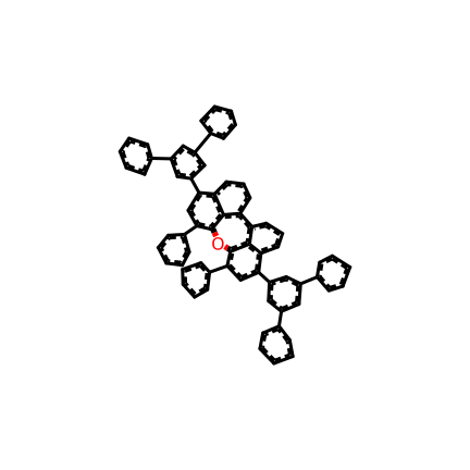 c1ccc(-c2cc(-c3ccccc3)cc(-c3cc(-c4ccccc4)c4oc5c(-c6ccccc6)cc(-c6cc(-c7ccccc7)cc(-c7ccccc7)c6)c6cccc(c7cccc3c47)c65)c2)cc1